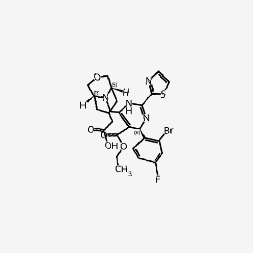 CCOC(=O)C1=C(CN2[C@@H]3COC[C@H]2CC(CC(=O)O)C3)NC(c2nccs2)=N[C@H]1c1ccc(F)cc1Br